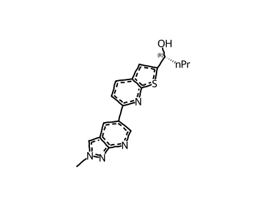 CCC[C@@H](O)c1cc2ccc(-c3cnc4nn(C)cc4c3)nc2s1